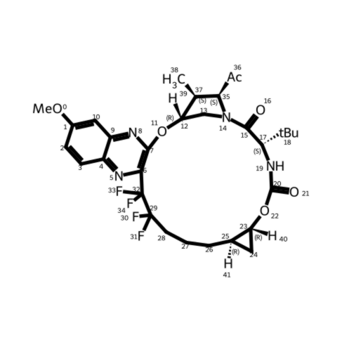 COc1ccc2nc3c(nc2c1)O[C@H]1CN(C(=O)[C@H](C(C)(C)C)NC(=O)O[C@@H]2C[C@H]2CCCC(F)(F)C3(F)F)[C@H](C(C)=O)[C@@H]1C